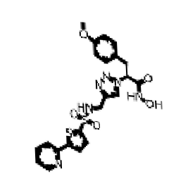 COc1ccc(C[C@@H](C(=O)NO)n2cc(CNS(=O)(=O)c3ccc(-c4ccccn4)s3)nn2)cc1